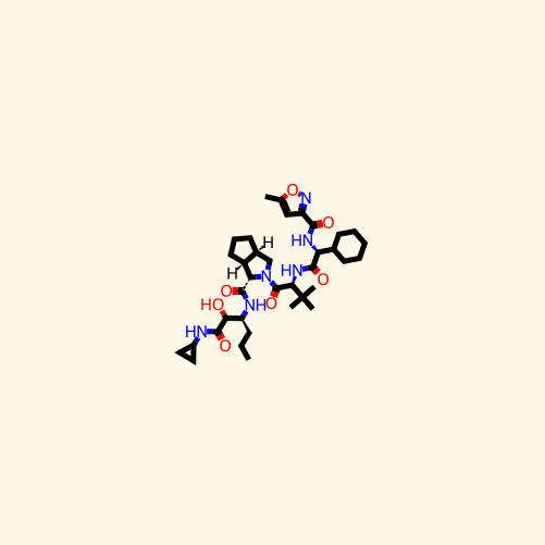 CCC[C@H](NC(=O)[C@@H]1[C@H]2CCC[C@H]2CN1C(=O)[C@@H](NC(=O)[C@@H](NC(=O)c1cc(C)on1)C1CCCCC1)C(C)(C)C)C(O)C(=O)NC1CC1